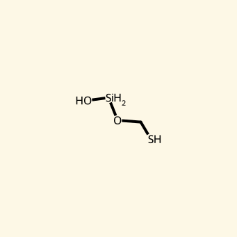 O[SiH2]OCS